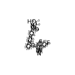 CC([C@H](C)O)n1ncn(-c2ccc(N3CCN(c4ccccc4OC[C@H]4CO[C@@](Cn5cncn5)(c5ccc(F)cc5F)O4)CC3)cc2)c1=O